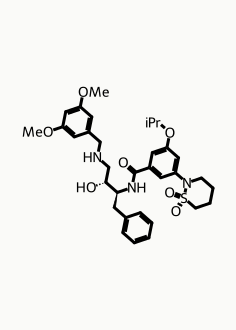 COc1cc(CNC[C@@H](O)[C@H](Cc2ccccc2)NC(=O)c2cc(OC(C)C)cc(N3CCCCS3(=O)=O)c2)cc(OC)c1